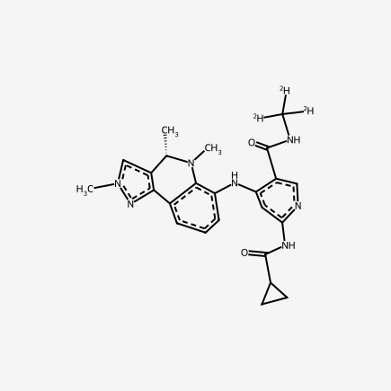 [2H]C([2H])([2H])NC(=O)c1cnc(NC(=O)C2CC2)cc1Nc1cccc2c1N(C)[C@@H](C)c1cn(C)nc1-2